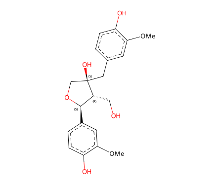 COc1cc(C[C@@]2(O)CO[C@H](c3ccc(O)c(OC)c3)[C@H]2CO)ccc1O